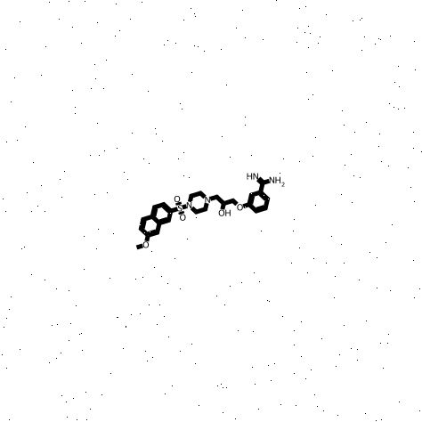 COc1ccc2ccc(S(=O)(=O)N3CCN(CC(O)COc4cccc(C(=N)N)c4)CC3)cc2c1